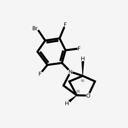 Fc1cc(Br)c(F)c(F)c1N1C[C@@H]2C[C@H]1CO2